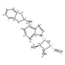 C#C[C@H]1O[C@@H](n2cnc3c(NC4Cc5ccccc5C4)ncnc32)[C@H](O)[C@@H]1O